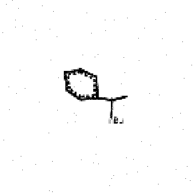 CCCC[C](C)c1ccccc1